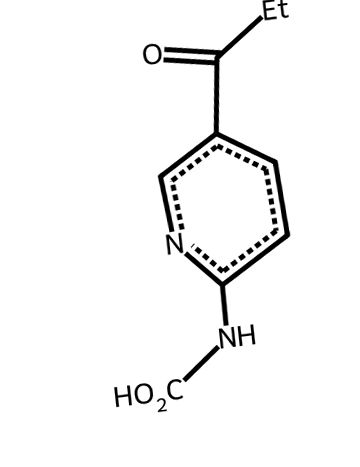 CCC(=O)c1ccc(NC(=O)O)nc1